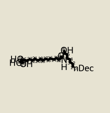 [CH2]CCCCCCCCCCCCCC(CCO)NC(=O)CCCCCCCCCCCCCCC(O)(O)O